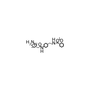 CC(=O)O[C@@H](CNCCc1ccc(NC(=O)Cc2csc(N)n2)cc1)c1ccccc1